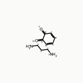 NCCCN.O=C1C=CC=CC1=O